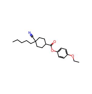 CCCCCC1(C#N)CCC(C(=O)Oc2ccc(OCC)cc2)CC1